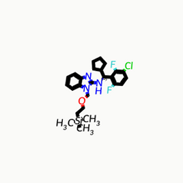 C[Si](C)(C)CCOCn1c(N[C@H](c2c(F)ccc(Cl)c2F)C2CCCC2)nc2ccccc21